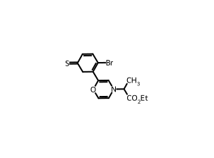 CCOC(=O)C(C)N1C=COC(C2=C(Br)C=CC(=S)C2)=C1